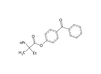 CCCC(C)(CC)C(=O)Oc1ccc(C(=O)c2ccccc2)cc1